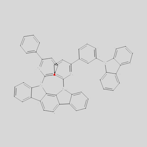 c1ccc(-c2cccc(-n3c4ccccc4c4ccc5c6ccccc6n(-c6cccc(-c7cccc(-n8c9ccccc9c9ccccc98)c7)n6)c5c43)n2)cc1